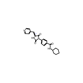 O=C(NC1CCCCC1)c1ccc(N2C(=O)N/C(=C\c3ccncc3)C2=O)cc1